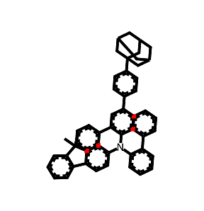 CC1(C)c2ccccc2-c2ccc(N(c3ccccc3-c3ccccc3)c3ccc(-c4ccc(C56CC7CC(CC(C7)C5)C6)cc4)cc3-c3ccccc3)cc21